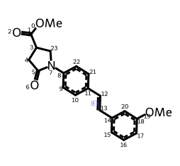 COC(=O)C1CC(=O)N(c2ccc(/C=C/c3cccc(OC)c3)cc2)C1